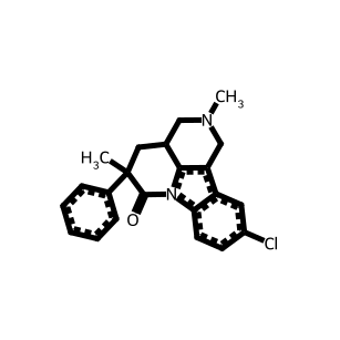 CN1Cc2c3n(c4ccc(Cl)cc24)C(=O)C(C)(c2ccccc2)CC3C1